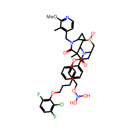 COc1nccc(CN(C(=O)C2(C)C(c3ccc(CCCOc4c(F)ccc(F)c4Cl)cc3)CC3C[S+]([O-])CC2N3C(=O)Oc2cccc(CON(O)O)c2)C2CC2)c1C